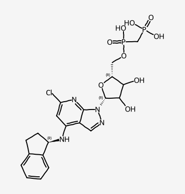 O=P(O)(O)CP(=O)(O)OC[C@H]1O[C@@H](n2ncc3c(N[C@@H]4CCc5ccccc54)cc(Cl)nc32)C(O)C1O